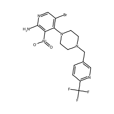 Nc1ncc(Br)c(N2CCN(Cc3ccc(C(F)(F)F)nc3)CC2)c1[N+](=O)[O-]